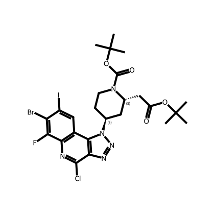 CC(C)(C)OC(=O)C[C@@H]1C[C@@H](n2nnc3c(Cl)nc4c(F)c(Br)c(I)cc4c32)CCN1C(=O)OC(C)(C)C